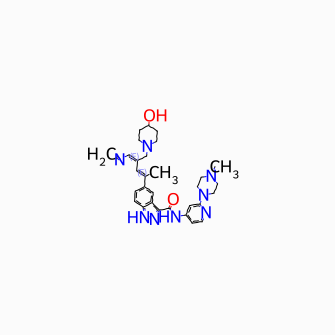 C=N/C=C(\C=C(/C)c1ccc2[nH]nc(C(=O)Nc3ccnc(N4CCN(C)CC4)c3)c2c1)CN1CCC(O)CC1